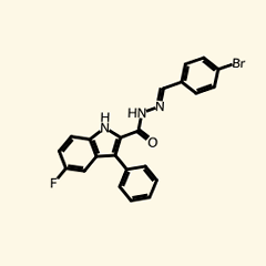 O=C(NN=Cc1ccc(Br)cc1)c1[nH]c2ccc(F)cc2c1-c1ccccc1